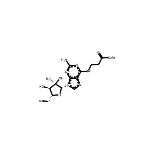 COC(=O)CCNc1nc(N)nc2c1ncn2[C@@H]1O[C@H](CO)[C@@H](O)[C@@]1(C)O